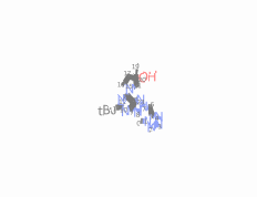 Cn1nnnc1Cn1nc2nc(C(C)(C)C)nc(N3CC[C@](C)(O)C3)c2n1